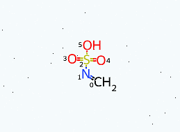 C=NS(=O)(=O)O